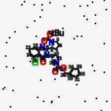 CC(C)(C)OC(=O)N1CCCC1c1nc2cccc(Cl)c2c(=O)n1C1CCN(C(=O)OCc2ccccc2)C1